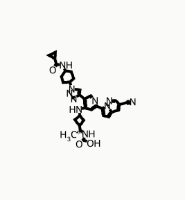 C[C@@H](NC(=O)O)C1CC(Nc2cc(-c3ccc4cc(C#N)cnn34)ncc2-c2cn(C3CCC(NC(=O)C4CC4)CC3)nn2)C1